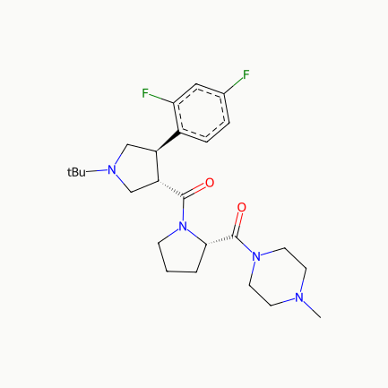 CN1CCN(C(=O)[C@@H]2CCCN2C(=O)[C@@H]2CN(C(C)(C)C)C[C@H]2c2ccc(F)cc2F)CC1